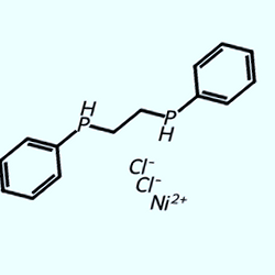 [Cl-].[Cl-].[Ni+2].c1ccc(PCCPc2ccccc2)cc1